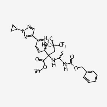 CC(C)OC(=O)C(CC(C)(C)C(F)(F)F)(NC(=S)NC(=O)OCc1ccccc1)c1ccc(-c2cnn(C3CC3)n2)cc1